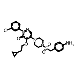 Nc1ccc(CS(=O)(=O)N2CCN(c3cnn(-c4cccc(Cl)c4)c(=O)c3OCCC3CC3)CC2)cc1